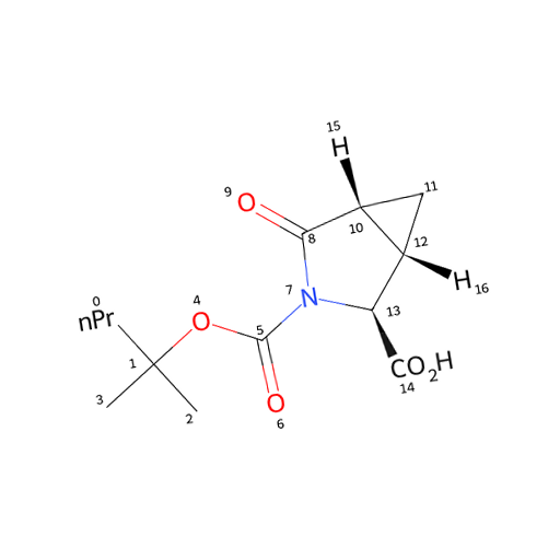 CCCC(C)(C)OC(=O)N1C(=O)[C@@H]2C[C@@H]2[C@H]1C(=O)O